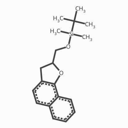 CC(C)(C)[Si](C)(C)OCC1Cc2ccc3ccccc3c2O1